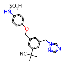 CC(C)(C#N)c1cc(COc2ccc(NS(=O)(=O)O)cc2)cc(Cn2cncn2)c1